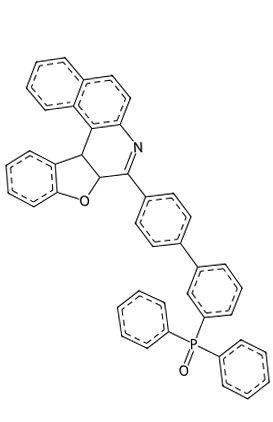 O=P(c1ccccc1)(c1ccccc1)c1cccc(-c2ccc(C3=Nc4ccc5ccccc5c4C4c5ccccc5OC34)cc2)c1